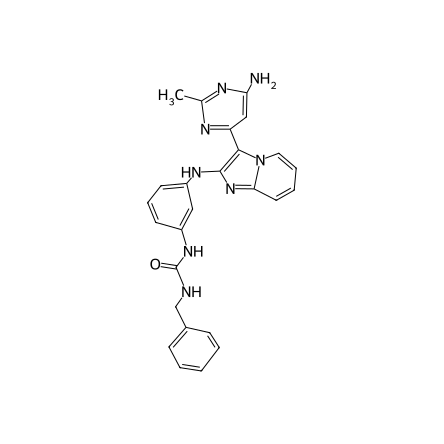 Cc1nc(N)cc(-c2c(Nc3cccc(NC(=O)NCc4ccccc4)c3)nc3ccccn23)n1